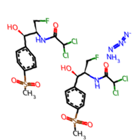 CS(=O)(=O)c1ccc([C@@H](O)[C@@H](CF)NC(=O)C(Cl)Cl)cc1.CS(=O)(=O)c1ccc([C@@H](O)[C@@H](CF)NC(=O)C(Cl)Cl)cc1.N.[N-]=[N+]=[N-]